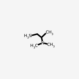 CC(C[SiH3])N(C)C